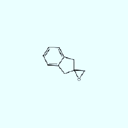 c1ccc2c(c1)CC1(CO1)C2